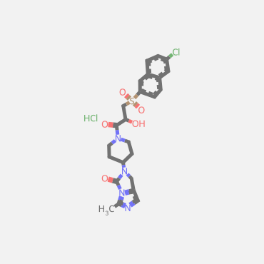 Cc1ncc2n1C(=O)N(C1CCN(C(=O)C(O)CS(=O)(=O)c3ccc4cc(Cl)ccc4c3)CC1)C2.Cl